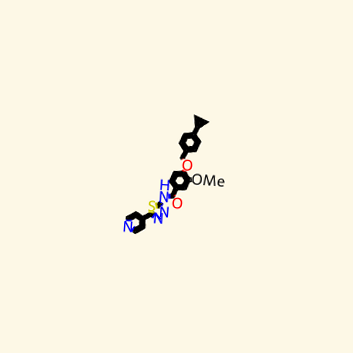 COc1cc(C(=O)Nc2nnc(-c3ccncc3)s2)ccc1OCc1ccc(C2CC2)cc1